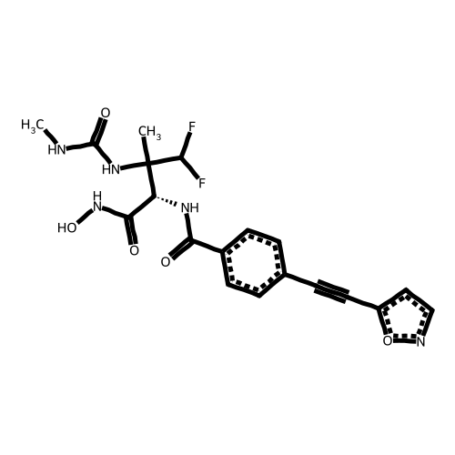 CNC(=O)NC(C)(C(F)F)[C@H](NC(=O)c1ccc(C#Cc2ccno2)cc1)C(=O)NO